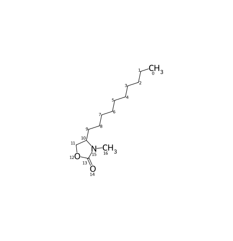 CCCCCCCCCCC1COC(=O)N1C